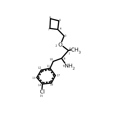 CC(OCC1CCC1)C(N)Cc1ccc(Cl)cc1